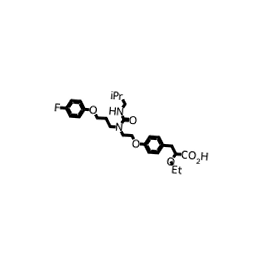 CCOC(Cc1ccc(OCCN(CCCOc2ccc(F)cc2)C(=O)NCC(C)C)cc1)C(=O)O